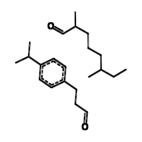 CC(C)c1ccc(CCC=O)cc1.CCC(C)CCCC(C)C=O